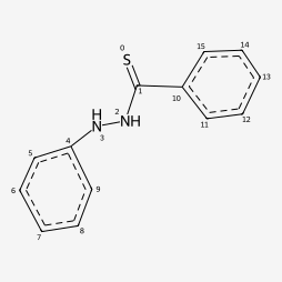 S=C(NNc1ccccc1)c1ccccc1